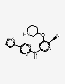 N#Cc1ncc(Nc2ncc(-c3cccs3)cn2)cc1OC1CCCNC1